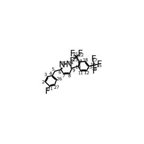 Fc1ccc(Cc2ccc(-c3ccc(C(F)(F)F)cc3C(F)(F)F)nn2)cc1